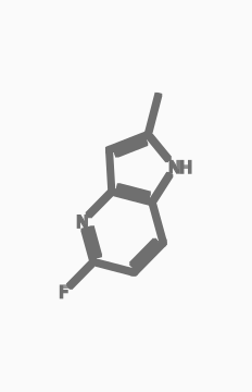 Cc1cc2nc(F)ccc2[nH]1